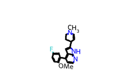 COc1ccc(F)cc1-c1ccnc2[nH]c(C3C=CN(C)CC3)cc12